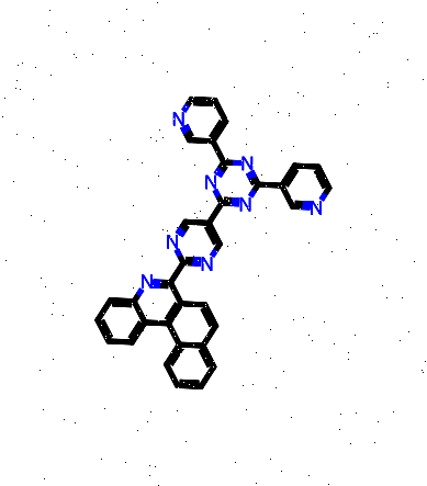 c1cncc(-c2nc(-c3cccnc3)nc(-c3cnc(-c4nc5ccccc5c5c4ccc4ccccc45)nc3)n2)c1